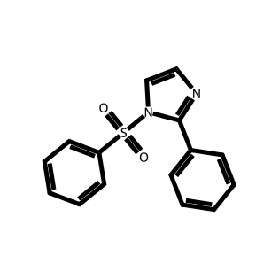 O=S(=O)(c1ccccc1)n1ccnc1-c1ccccc1